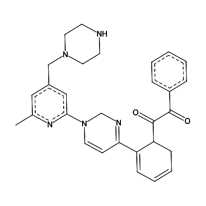 Cc1cc(CN2CCNCC2)cc(N2C=CC(C3=CC=CCC3C(=O)C(=O)c3ccccc3)=NC2)n1